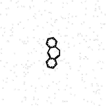 [C]1=c2ccccc2=CCc2ccccc21